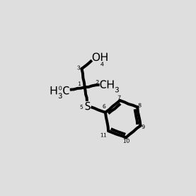 CC(C)(CO)Sc1ccccc1